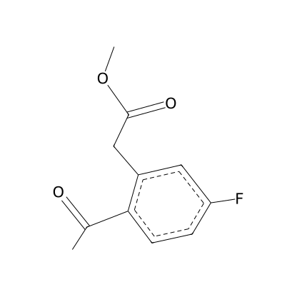 COC(=O)Cc1cc(F)ccc1C(C)=O